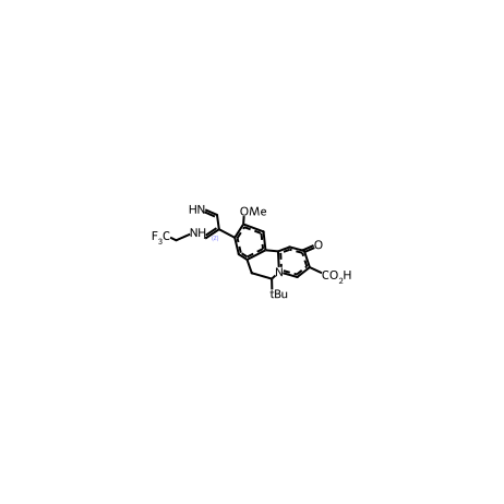 COc1cc2c(cc1/C(C=N)=C/NCC(F)(F)F)CC(C(C)(C)C)n1cc(C(=O)O)c(=O)cc1-2